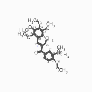 CCOc1ccc(C(=O)/C(=C/c2cc(OC)c(OC)c(OC)c2OC)CC)cc1N(C)C